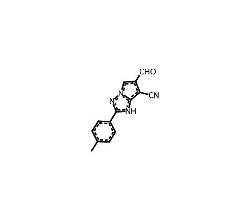 Cc1ccc(-c2nn3cc(C=O)c(C#N)c3[nH]2)cc1